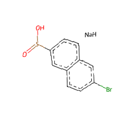 O=S(O)c1ccc2cc(Br)ccc2c1.[NaH]